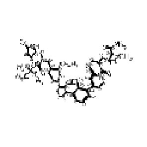 COc1nc(-c2cccc(-c3cccc(-c4ccn5c(=O)c(CN[C@@H](C)C(N)=O)cnc5c4)c3Cl)c2Cl)ccc1CN(C[C@@H]1CCC(=O)N1)C(=O)OC(C)(C)C